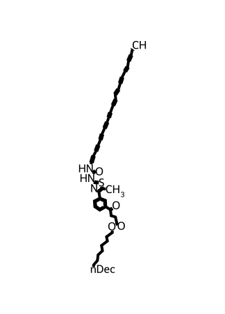 C#CC#CC#CC#CC#CC#CC#CC#CC#CC#CC#CNC(=O)Nc1nc(-c2cccc(C(=O)CCC(=O)OCCCCCCCCCCCCCCCCCC)c2)c(C)s1